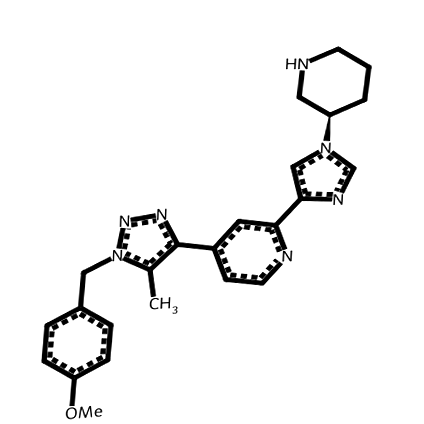 COc1ccc(Cn2nnc(-c3ccnc(-c4cn([C@@H]5CCCNC5)cn4)c3)c2C)cc1